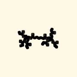 C=CC(=O)OCC(COC(=O)C=C)(COC(=O)C=C)COC(=O)CCCCCC(=O)OCC(COC(=O)C=C)(COC(=O)C=C)COC(=O)C=C